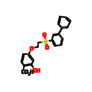 O=C(O)c1ccc(OCCS(=O)(=O)c2cccc(-c3ccccc3)c2)cc1O